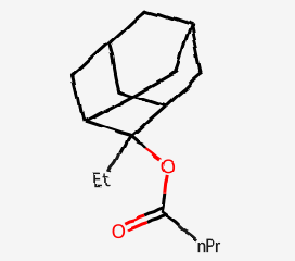 CCCC(=O)OC1(CC)C2CC3CC(C2)CC1C3